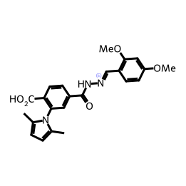 COc1ccc(/C=N/NC(=O)c2ccc(C(=O)O)c(-n3c(C)ccc3C)c2)c(OC)c1